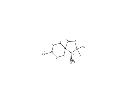 CC(C)N1CCC2(CC1)OCC(C)(C)[C@H]2N